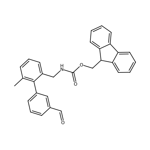 Cc1cccc(CNC(=O)OCC2c3ccccc3-c3ccccc32)c1-c1cccc(C=O)c1